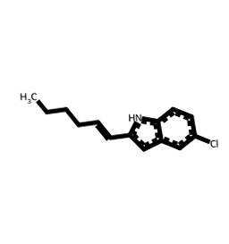 CCCC/C=C/c1cc2cc(Cl)ccc2[nH]1